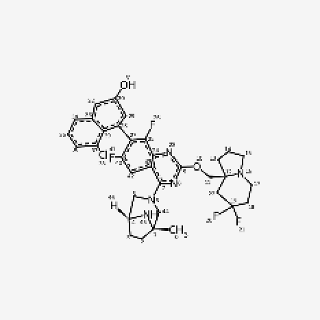 C[C@]12CC[C@H](CN(c3nc(OC[C@@]45CCCN4CCC(F)(F)C5)nc4c(F)c(-c5cc(O)cc6cccc(Cl)c56)c(F)cc34)C1)N2